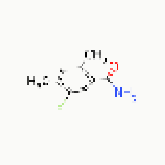 Cc1cc(C)c(C(N)=O)cc1F